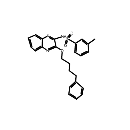 Cc1cccc(S(=O)(=O)Nc2nc3ccccc3nc2OCCCCc2ccccc2)c1